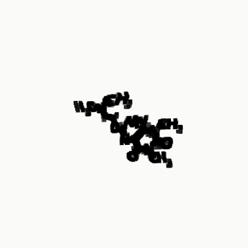 CN(C)CCOc1nnc2c(n1)c(=O)n(C)c(=O)n2C